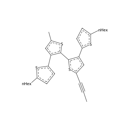 CC#Cc1cc(-c2ccc(CCCCCC)s2)c(-c2sc(C)cc2-c2ccc(CCCCCC)s2)s1